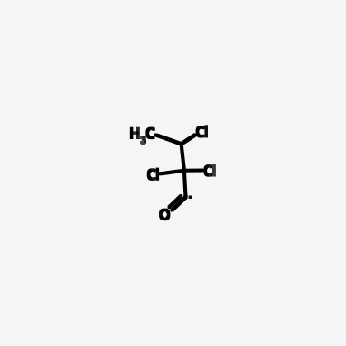 CC(Cl)C(Cl)(Cl)[C]=O